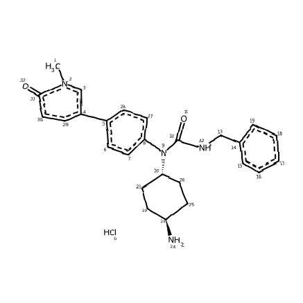 Cl.Cn1cc(-c2ccc(N(C(=O)NCc3ccccc3)[C@H]3CC[C@H](N)CC3)cc2)ccc1=O